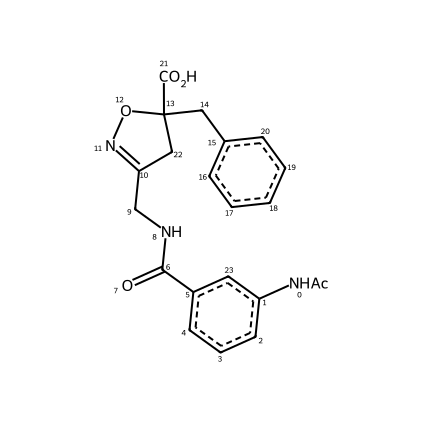 CC(=O)Nc1cccc(C(=O)NCC2=NOC(Cc3ccccc3)(C(=O)O)C2)c1